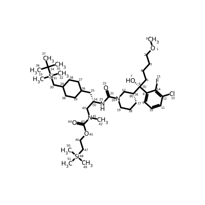 COCCCC[C@@](O)(c1cccc(Cl)c1F)[C@@H]1CCCN(C(=O)N[C@@H](CC2CCC(C[Si](C)(C)C(C)(C)C)CC2)CN(C)C(=O)OCC[Si](C)(C)C)C1